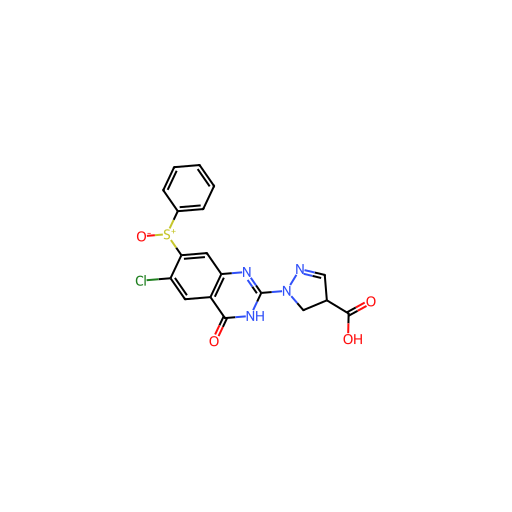 O=C(O)C1C=NN(c2nc3cc([S+]([O-])c4ccccc4)c(Cl)cc3c(=O)[nH]2)C1